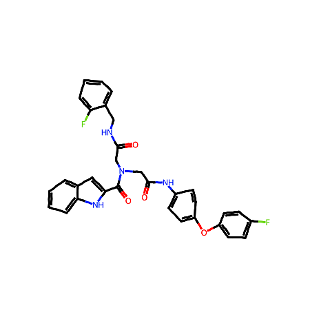 O=C(CN(CC(=O)Nc1ccc(Oc2ccc(F)cc2)cc1)C(=O)c1cc2ccccc2[nH]1)NCc1ccccc1F